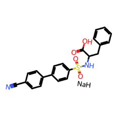 N#Cc1ccc(-c2ccc(S(=O)(=O)NC(Cc3ccccc3)C(=O)O)cc2)cc1.[NaH]